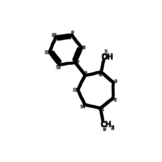 CC1CCC(O)C(c2ccccc2)CC1